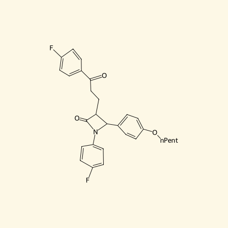 CCCCCOc1ccc(C2C(CCC(=O)c3ccc(F)cc3)C(=O)N2c2ccc(F)cc2)cc1